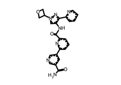 NC(=O)c1cncc(-c2cccc(C(=O)Nc3cn(C4COC4)nc3-c3ccccn3)n2)c1